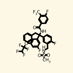 CS(=O)(=O)NCc1cc(C(Cc2ccccc2)(NC(=O)c2ccc(F)c(C(F)(F)F)c2)c2cc(F)cc(OC(F)(F)C(F)F)c2)ccc1F